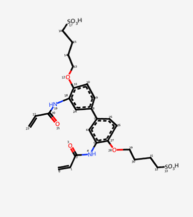 C=CC(=O)Nc1cc(-c2ccc(OCCCCS(=O)(=O)O)c(NC(=O)C=C)c2)ccc1OCCCCS(=O)(=O)O